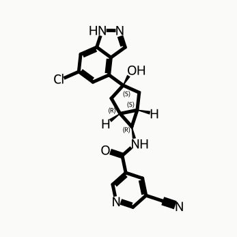 N#Cc1cncc(C(=O)N[C@H]2[C@@H]3C[C@](O)(c4cc(Cl)cc5[nH]ncc45)C[C@@H]32)c1